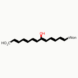 CCCCCCCCCC=CC=CC=C(O)C=CC=CC=CC(=O)O